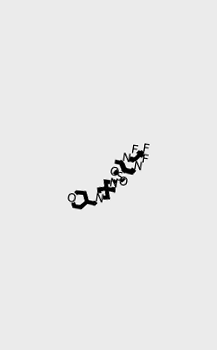 Cc1nc(C(F)(F)F)ncc1S(=O)(=O)N1CC2(CN(CC3CCOCC3)C2)C1